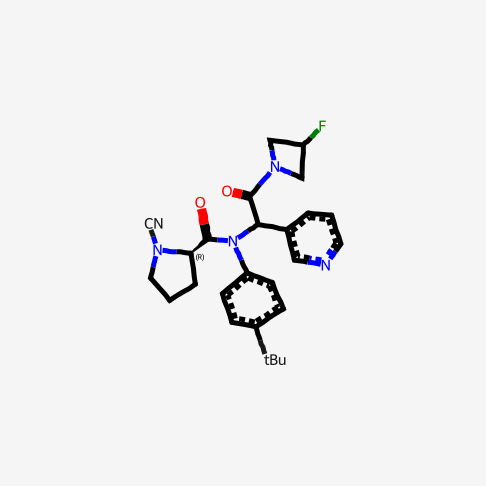 CC(C)(C)c1ccc(N(C(=O)[C@H]2CCCN2C#N)C(C(=O)N2CC(F)C2)c2cccnc2)cc1